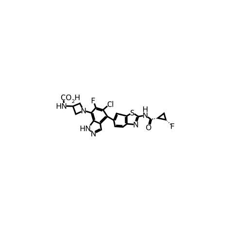 O=C(O)NC1CN(c2c(F)c(Cl)c(-c3ccc4nc(NC(=O)[C@@H]5C[C@@H]5F)sc4c3)c3cn[nH]c23)C1